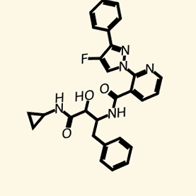 O=C(NC(Cc1ccccc1)C(O)C(=O)NC1CC1)c1cccnc1-n1cc(F)c(-c2ccccc2)n1